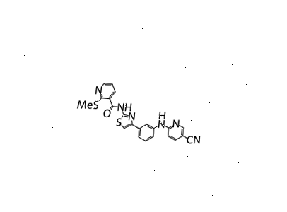 CSc1ncccc1C(=O)Nc1nc(-c2cccc(Nc3ccc(C#N)cn3)c2)cs1